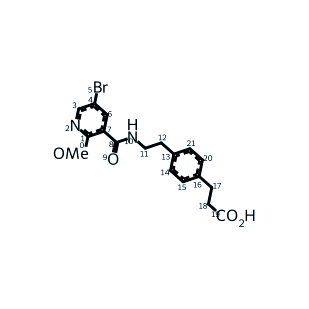 COc1ncc(Br)cc1C(=O)NCCc1ccc(CCC(=O)O)cc1